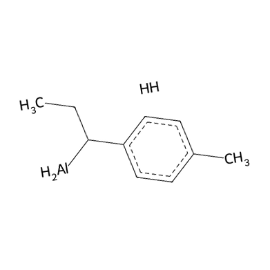 CC[CH]([AlH2])c1ccc(C)cc1.[HH]